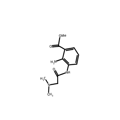 COC(=O)c1cccc(NC(=O)CN(C)C)c1N